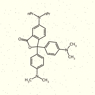 CCCN(CCC)c1ccc2c(c1)C(=O)OC2(c1ccc(N(C)C)cc1)c1ccc(N(C)C)cc1